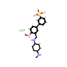 CNC1CCC(NCc2cc(-c3cccc(S(C)(=O)=O)c3)ccc2OC)CC1.Cl